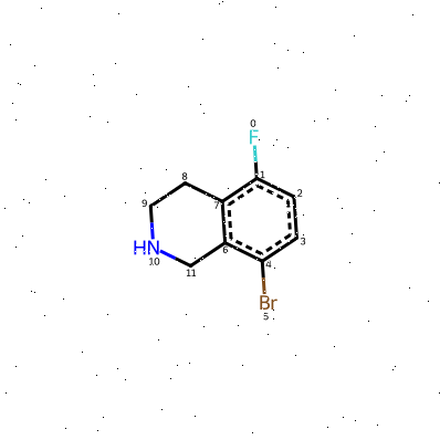 Fc1ccc(Br)c2c1CCNC2